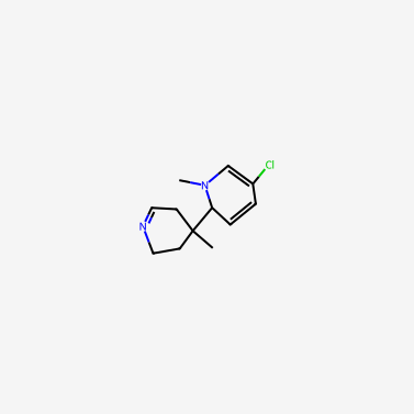 CN1C=C(Cl)C=CC1C1(C)CC=NCC1